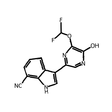 N#Cc1cccc2c(-c3cnc(O)c(OC(F)F)n3)c[nH]c12